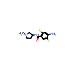 CN1CCC(NC(=O)c2cc(F)c(N)cc2F)C1